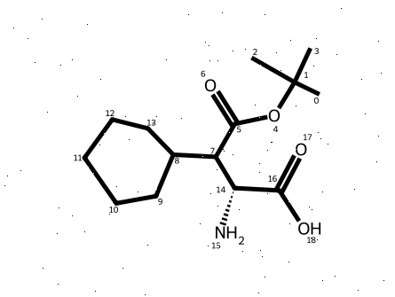 CC(C)(C)OC(=O)C(C1CCCCC1)[C@@H](N)C(=O)O